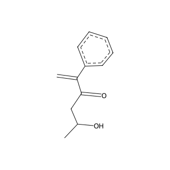 C=C(C(=O)CC(C)O)c1ccccc1